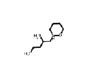 CCCC(N)C[SiH]1CCCCO1